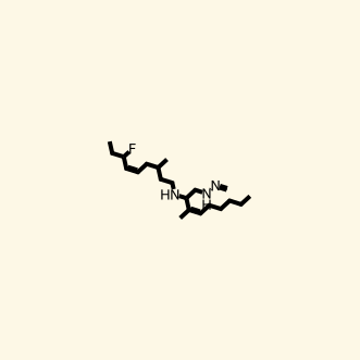 C=NNCC(NCCC(C)C/C=C\C(F)CC)/C(C)=C\CCCCC